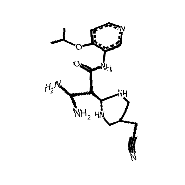 CC(C)Oc1ccncc1NC(=O)C(C(N)N)C1NCC(CC#N)CN1